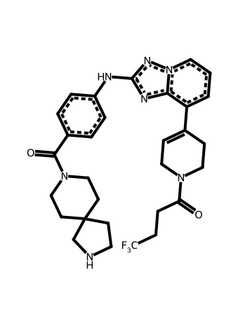 O=C(CCC(F)(F)F)N1CC=C(c2cccn3nc(Nc4ccc(C(=O)N5CCC6(CCNC6)CC5)cc4)nc23)CC1